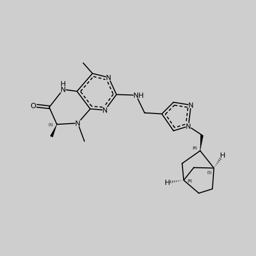 Cc1nc(NCc2cnn(C[C@@H]3C[C@@H]4CC[C@H]3C4)c2)nc2c1NC(=O)[C@H](C)N2C